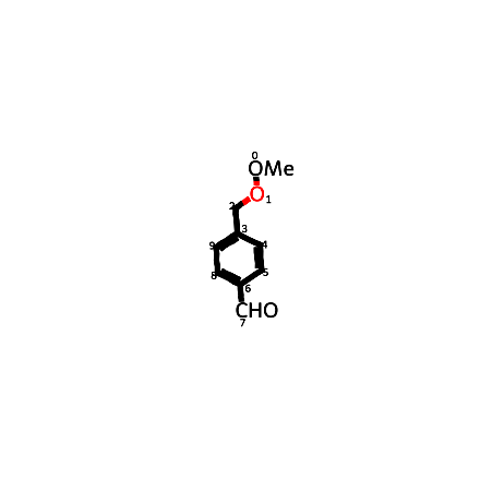 COOCc1ccc(C=O)cc1